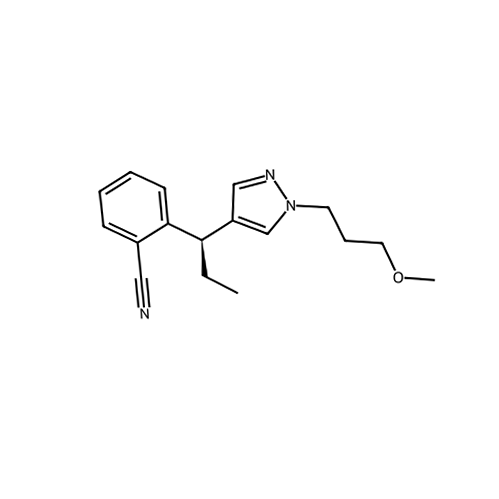 CC[C@H](c1cnn(CCCOC)c1)c1ccccc1C#N